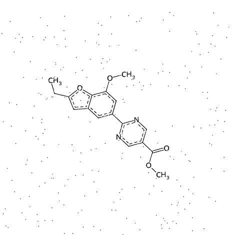 CCc1cc2cc(-c3ncc(C(=O)OC)cn3)cc(OC)c2o1